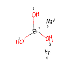 OB(O)O.[H-].[Na+]